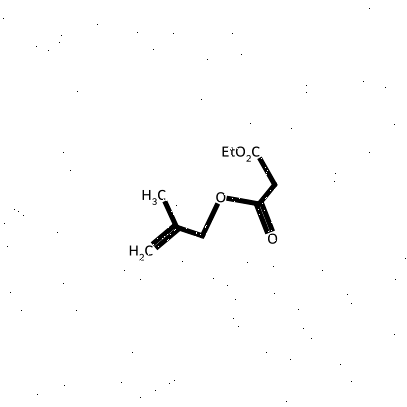 C=C(C)COC(=O)CC(=O)OCC